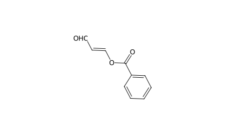 O=CC=COC(=O)c1ccccc1